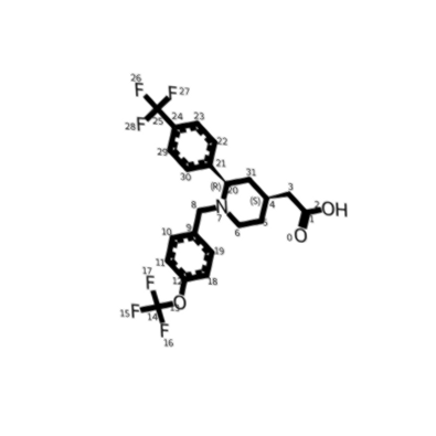 O=C(O)C[C@H]1CCN(Cc2ccc(OC(F)(F)F)cc2)[C@@H](c2ccc(C(F)(F)F)cc2)C1